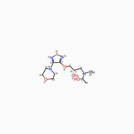 CC(O)N(C[C@H](O)COc1nsnc1N1CCOCC1)C(C)(C)C